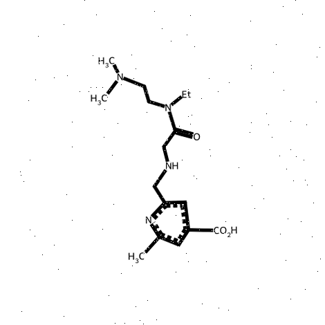 CCN(CCN(C)C)C(=O)CNCc1cc(C(=O)O)cc(C)n1